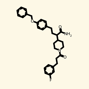 NC(=O)C(CCc1ccc(OCc2ccccc2)cc1)C1CCN(C(=O)CCc2cccc(F)c2)CC1